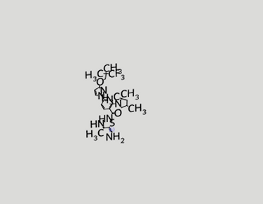 CC(=N)/C(=C\N)SNC(=O)c1ccc(-n2ccc(OCC(C)(C)C(F)(F)F)n2)nc1N1CC(C)CC1(C)C